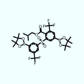 CC(C)COC(=O)c1c(C(F)(F)F)cc(B2OC(C)(C)C(C)(C)O2)cc1S(=O)(=O)c1cc(B2OC(C)(C)C(C)(C)O2)cc(C(F)(F)F)c1